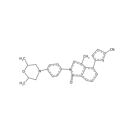 Cc1cn(-c2ccc(N3CC(C)OC(C)C3)cc2)c(=O)c2cccc(-c3ccc(C#N)s3)c12